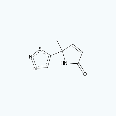 CC1(c2cnns2)C=CC(=O)N1